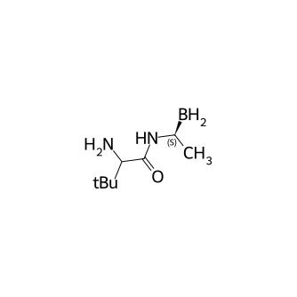 B[C@@H](C)NC(=O)C(N)C(C)(C)C